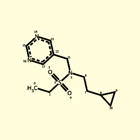 CCS(=O)(=O)N(CCC1CC1)Cc1cncnc1